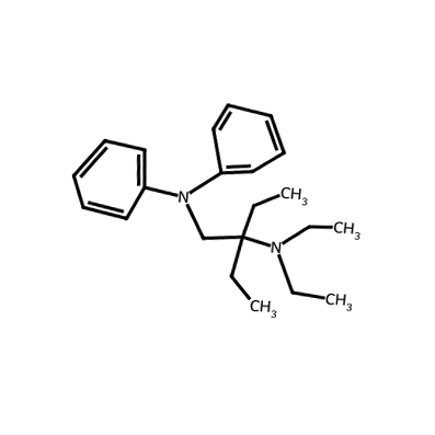 CCN(CC)C(CC)(CC)CN(c1ccccc1)c1ccccc1